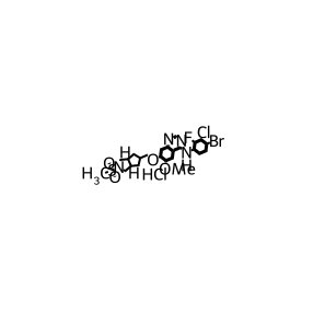 COc1cc2c(Nc3ccc(Br)c(Cl)c3F)ncnc2cc1OCC1C[C@@H]2CN(S(C)(=O)=O)C[C@@H]2C1.Cl